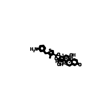 Cc1c([C@@H]2O[C@@H]3C[C@H]4[C@@H]5CCC6=CC(=O)C=C[C@]6(C)[C@H]5[C@@H](O)C[C@]4(C)[C@]3(C(=O)CO)O2)csc1Cc1cccc(N)c1